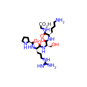 N=C(N)NCCC[C@H](NC(=O)[C@@H]1CCCN1)C(=O)N[C@@H](CO)C(=O)N[C@@H](CCCCN)C(=O)NCC(=O)O